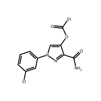 CCC(=O)Oc1cn(-c2cccc(Cl)c2)nc1C(N)=O